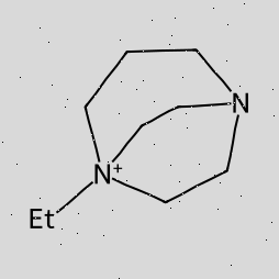 CC[N+]12CCCN(CC1)CC2